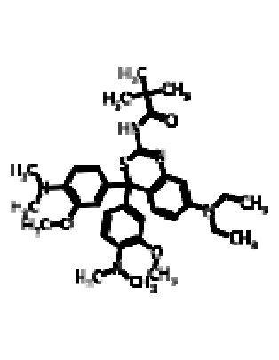 CCN(CC)c1ccc2c(c1)N=C(NC(=O)C(C)(C)C)SC2(c1ccc(N(C)C)c(OC)c1)c1ccc(N(C)C)c(OC)c1